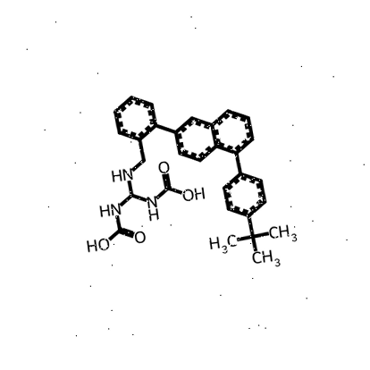 CC(C)(C)c1ccc(-c2cccc3cc(-c4ccccc4CNC(NC(=O)O)NC(=O)O)ccc23)cc1